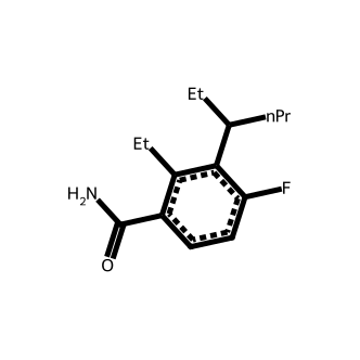 CCCC(CC)c1c(F)ccc(C(N)=O)c1CC